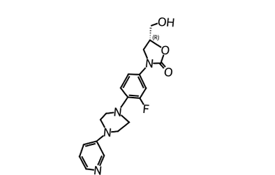 O=C1O[C@@H](CO)CN1c1ccc(N2CCN(c3cccnc3)CC2)c(F)c1